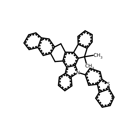 CC1(C)c2ccccc2-c2c3c(c4c5ccccc5n(-c5ccc6sc7ccccc7c6c5)c4c21)Cc1cc2ccccc2cc1C3